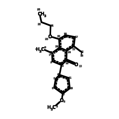 [CH2]n1cc(-c2ccc(OC)cc2)c(=O)c2c(F)ccc(OCCC)c21